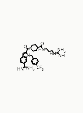 N=C(N)NCCCNC(=O)C1CCN(C(=O)c2cc3ccc(C(=N)N)cc3n2Cc2ccc(C(F)(F)F)cc2)CC1